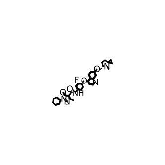 Cc1c(C(=O)Nc2ccc(Oc3ccnc4cc(OC[C@@H]5CCC6(CC6)N5C)ccc34)c(F)c2)c(=O)n(C2=CCCC=C2)n1C